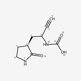 C#CC(C[C@@H]1CCNC1=O)NC(=O)O